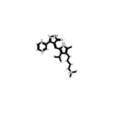 Cc1[nH]c(C=C2C(=O)NN=C2c2cnccn2)c(C(C)C)c1CCCCN(C)C